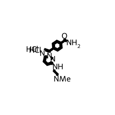 CNCCNc1ccc2ncc(-c3ccc(C(N)=O)cc3)n2n1.Cl.Cl